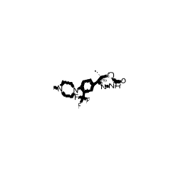 C[C@@H]1OC(=O)NN=C1c1ccc(N2CCN(C)CC2)c(C(F)(F)F)c1